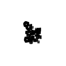 CC(C)(O)c1cnnn1[C@H]1C[C@@H](C(=O)NC2(C(=O)C(N)=O)CCCCC2)N(C(=O)[C@H](N)CC2CCCCC2)C1.Cl